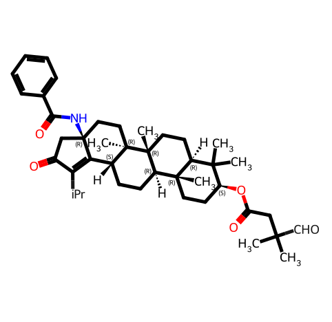 CC(C)C1=C2[C@H]3CC[C@@H]4[C@@]5(C)CC[C@H](OC(=O)CC(C)(C)C=O)C(C)(C)[C@@H]5CC[C@@]4(C)[C@]3(C)CC[C@@]2(NC(=O)c2ccccc2)CC1=O